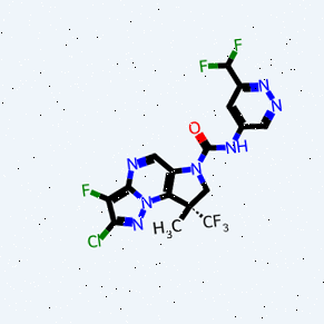 C[C@]1(C(F)(F)F)CN(C(=O)Nc2cnnc(C(F)F)c2)c2cnc3c(F)c(Cl)nn3c21